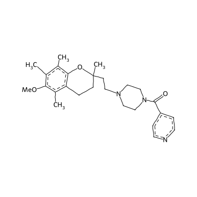 COc1c(C)c(C)c2c(c1C)CCC(C)(CCN1CCN(C(=O)c3ccncc3)CC1)O2